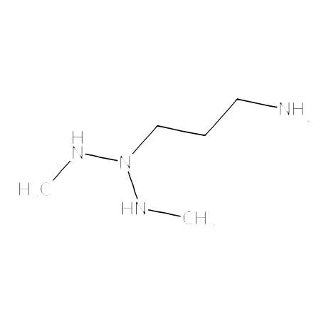 CNN(CCCN)NC